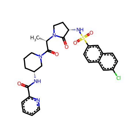 C[C@@H](C(=O)N1CCC[C@@H](NC(=O)c2ccccn2)C1)N1CC[C@H](NS(=O)(=O)c2ccc3cc(Cl)ccc3c2)C1=O